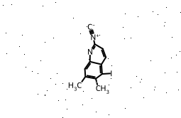 [C-]#[N+]c1ccc2c(I)c(C)c(C)cc2n1